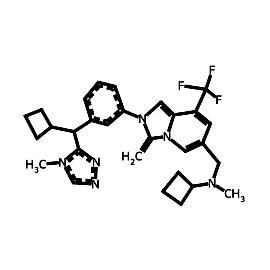 C=C1N2C=C(CN(C)C3CCC3)C=C(C(F)(F)F)C2=CN1c1cccc(C(c2nncn2C)C2CCC2)c1